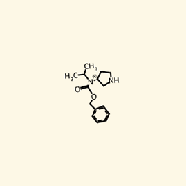 CC(C)N(C(=O)OCc1ccccc1)[C@@H]1CCNC1